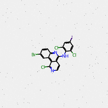 Clc1cc(I)cc(Cl)c1Nc1nc2ccc(Br)cc2c2c(Cl)nccc12